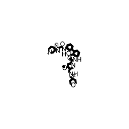 COc1cc(C(=O)Nc2cccc(-c3cccc(NC(=O)c4nc5c(n4C)CCN(C)C5)c3Cl)c2C)ncc1CNCC1(F)CCOCC1